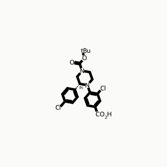 CC(C)(C)OC(=O)N1CCN(c2ccc(C(=O)O)cc2Cl)[C@H](c2ccc(Cl)cc2)C1